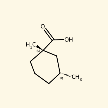 C[C@@H]1CCC[C@](C)(C(=O)O)C1